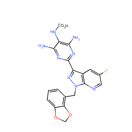 Nc1nc(-c2nn(Cc3cccc4c3OCO4)c3ncc(F)cc23)nc(N)c1NC(=O)O